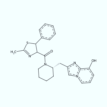 CC1=NC(C(=O)N2CCCC[C@H]2Cc2cn3cccc(O)c3n2)C(c2ccccc2)S1